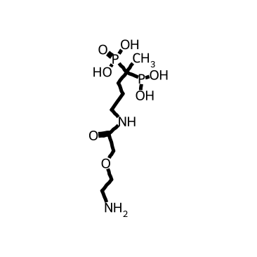 CC(CCCNC(=O)COCCN)(P(O)O)P(=O)(O)O